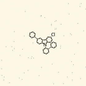 Clc1ccc2c(c1)c1cc(-c3ccccc3)ccc1n2-c1ccccc1-c1ccccc1